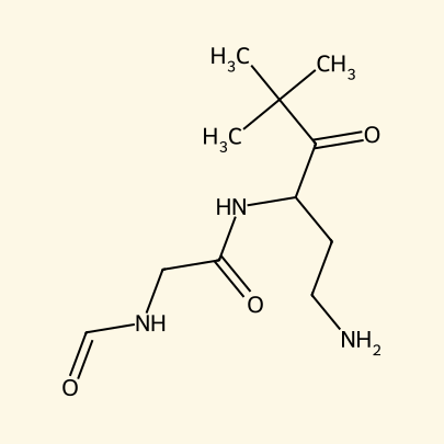 CC(C)(C)C(=O)C(CCN)NC(=O)CNC=O